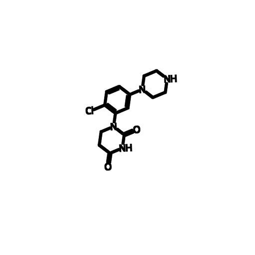 O=C1CCN(c2cc(N3CCNCC3)ccc2Cl)C(=O)N1